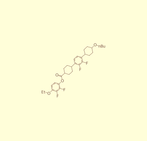 CCCCOC1CCC(c2ccc(C3CCC(C(=O)Oc4ccc(OCC)c(F)c4F)CC3)c(F)c2F)CC1